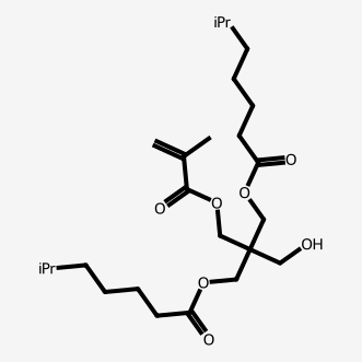 C=C(C)C(=O)OCC(CO)(COC(=O)CCCCC(C)C)COC(=O)CCCCC(C)C